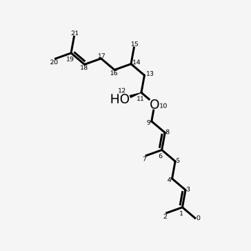 CC(C)=CCC/C(C)=C/CO[C@@H](O)CC(C)CCC=C(C)C